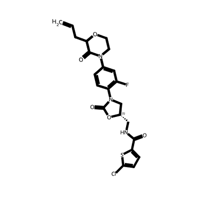 C=CCC1OCCN(c2ccc(N3C[C@H](CNC(=O)c4ccc(Cl)s4)OC3=O)c(F)c2)C1=O